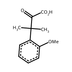 COc1ccccc1C(C)(C)C(=O)C(=O)O